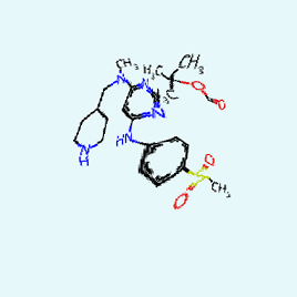 CC(C)(C)OC=O.CN(CC1CCNCC1)c1cc(Nc2ccc(S(C)(=O)=O)cc2)ncn1